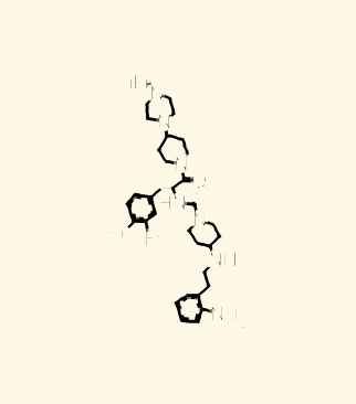 CCc1ccc(C[C@@H](NC(=O)N2CCC(NCCc3ccccc3N)CC2)C(=O)N2CCC(N3CCN(C(C)C)CC3)CC2)cc1CC